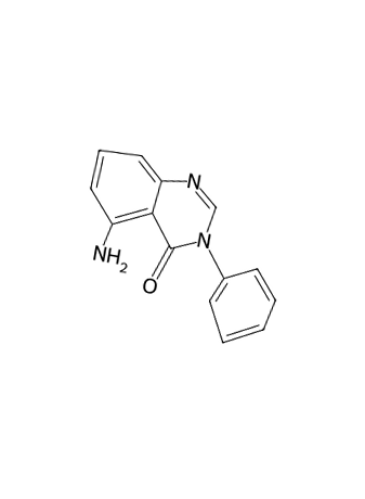 Nc1cccc2ncn(-c3ccccc3)c(=O)c12